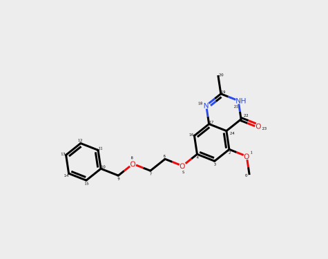 COc1cc(OCCOCc2ccccc2)cc2nc(C)[nH]c(=O)c12